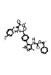 COC(=O)[C@@H](Cc1ccc(F)cc1)NC(=O)c1ccc(-c2c(NC(=O)O[C@H](C)c3ccccc3)c(C)nn2C)cc1